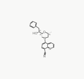 C[C@@H]1CN(c2ccc(C#N)c3ncccc23)C[C@H]([C@@H](O)Cc2ccccc2)O1